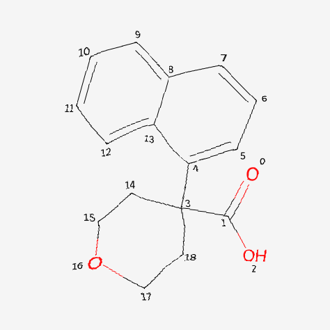 O=C(O)C1(c2cccc3ccccc23)CCOCC1